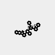 CC1(C)c2cc3ccccc3cc2-c2cccc(-c3ccc(-c4cc(-c5cccc6c5sc5ccccc56)nc(-c5ccccc5)n4)c4ccccc34)c21